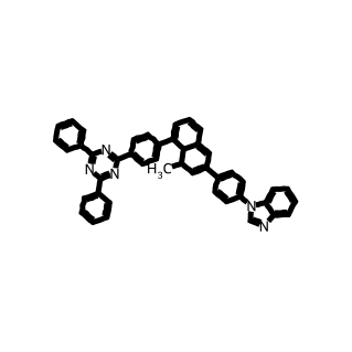 CC1C=C(c2ccc(-n3cnc4ccccc43)cc2)C=C2C=CC=C(c3ccc(-c4nc(-c5ccccc5)nc(-c5ccccc5)n4)cc3)C21